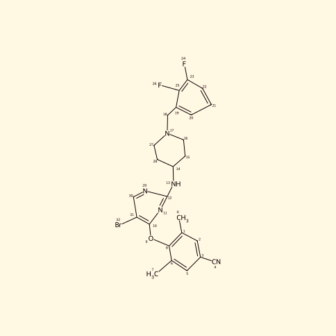 Cc1cc(C#N)cc(C)c1Oc1nc(NC2CCN(Cc3cccc(F)c3F)CC2)ncc1Br